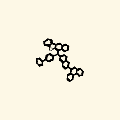 c1ccc(-c2ccc(C(c3ccc4cc(-c5cc6ccccc6c6ccccc56)ccc4c3)c3c4ccccc4cc4c3oc3ccccc34)cc2)cc1